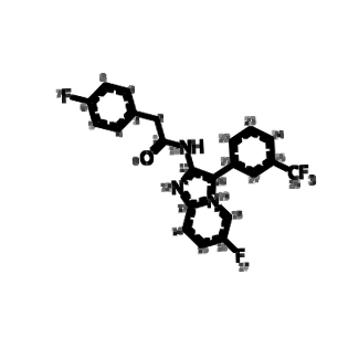 O=C(Cc1ccc(F)cc1)Nc1nc2ccc(F)cn2c1-c1cccc(C(F)(F)F)c1